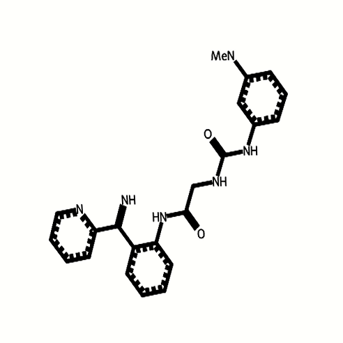 CNc1cccc(NC(=O)NCC(=O)Nc2ccccc2C(=N)c2ccccn2)c1